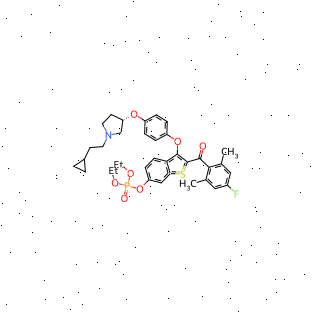 CCOP(=O)(OCC)Oc1ccc2c(Oc3ccc(O[C@H]4CCN(CCC5CC5)C4)cc3)c(C(=O)c3c(C)cc(F)cc3C)sc2c1